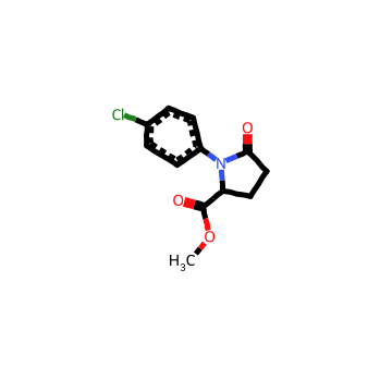 COC(=O)C1CCC(=O)N1c1ccc(Cl)cc1